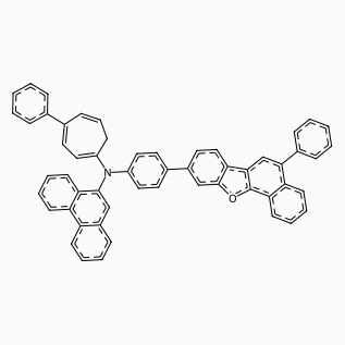 C1=CC(c2ccccc2)=CC=C(N(c2ccc(-c3ccc4c(c3)oc3c5ccccc5c(-c5ccccc5)cc43)cc2)c2cc3ccccc3c3ccccc23)C1